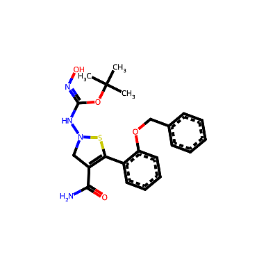 CC(C)(C)OC(=NO)NN1CC(C(N)=O)=C(c2ccccc2OCc2ccccc2)S1